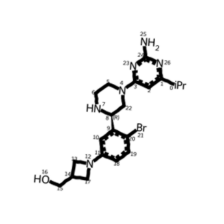 CC(C)c1cc(N2CCN[C@H](c3cc(N4CC(CO)C4)ccc3Br)C2)nc(N)n1